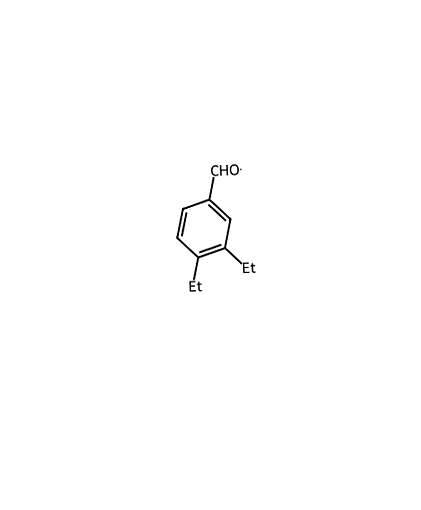 CCc1ccc([C]=O)cc1CC